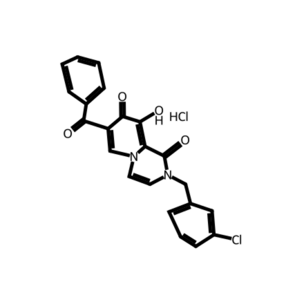 Cl.O=C(c1ccccc1)c1cn2ccn(Cc3cccc(Cl)c3)c(=O)c2c(O)c1=O